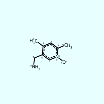 Cc1cc(C)[n+]([O-])cc1CN